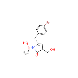 CB(O)N1C(=O)C(CO)C[C@H]1Cc1ccc(Br)cc1